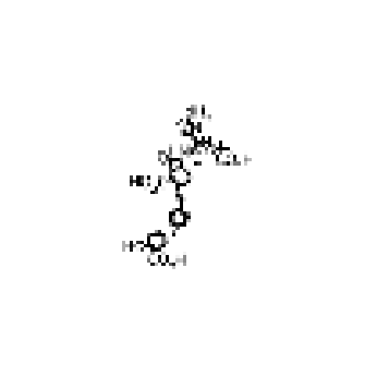 CC(C)(O/N=C(\C(=O)NC1C(=O)N2C(C(=O)O)=C(/C=C/c3ccc(C[n+]4ccc(O)c(C(=O)O)c4)cc3)CSC12)c1csc(N)n1)C(=O)O